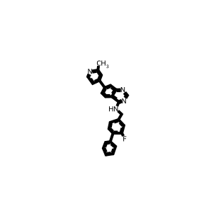 Cc1cc(-c2ccc3c(NCc4ccc(-c5ccccc5)c(F)c4)ncnc3c2)ccn1